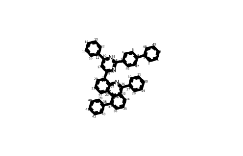 c1ccc(-c2ccc(-c3nc(-c4ccccc4)cc(-c4cccc5c4nc(-c4ccccc4)c4cccc(-c6ccccc6)c45)n3)cc2)cc1